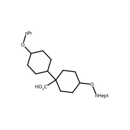 CCCCCCCOC1CCC(C(=O)O)(C2CCC(OCCC)CC2)CC1